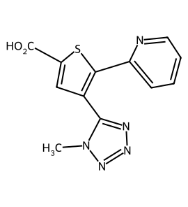 Cn1nnnc1-c1cc(C(=O)O)sc1-c1ccccn1